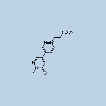 Cn1ncc(-c2cc[n+](CCC(=O)O)nc2)cc1=O